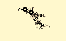 CN(C)CCS(=O)(=O)N1CCN(S(=O)(=O)c2cc(F)c(Oc3ccc(Cl)cc3)c(F)c2)[C@@H](C(N)=O)C1